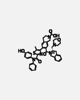 Cc1sc(C(=O)N(c2ccccc2)c2ccc(O)cc2)nc1-c1cc2c(cc1C(=O)N1Cc3ccccc3C[C@H]1CN1CCOCC1)CN(C(=O)O)CC2